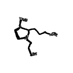 CCCCCCCCCCCCCC1N(CCCC)C=CN1CCCCCCCCCCCC